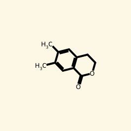 Cc1cc2c(cc1C)C(=O)OCC2